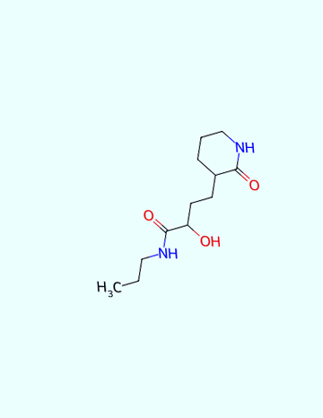 CCCNC(=O)C(O)CCC1CCCNC1=O